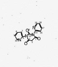 O=C1CC(=O)N(c2ccccn2)C(=O)N1c1ccccn1